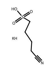 N#CCCCCS(=O)(=O)O.[KH]